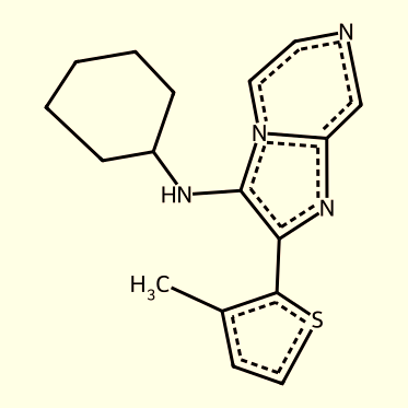 Cc1ccsc1-c1nc2cnccn2c1NC1CCCCC1